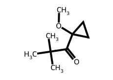 COC1(C(=O)C(C)(C)C)CC1